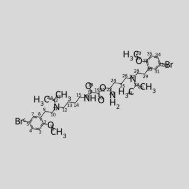 COc1ccc(Br)cc1CCN(CCCCNC(=O)C(=O)OC(N)CCCN(CCc1cc(Br)ccc1OC)C(C)C)C(C)C